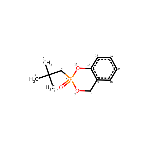 CC(C)(C)CP1(=O)OCc2ccccc2O1